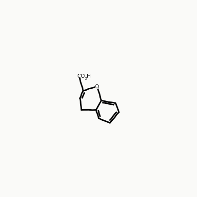 O=C(O)C1=CCc2ccccc2O1